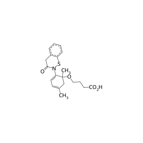 CC1=CC=C(N2Sc3ccccc3CC2=O)C(C)(OCCCC(=O)O)C1